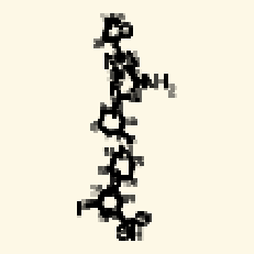 Nc1nc(N2CCCC(CN3CCN(c4cc(F)cc(C(=O)O)c4)CC3)C2)nc2nc(-c3ccco3)nn12